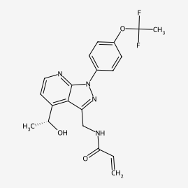 C=CC(=O)NCc1nn(-c2ccc(OC(C)(F)F)cc2)c2nccc([C@@H](C)O)c12